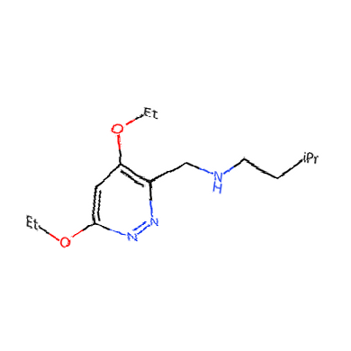 CCOc1cc(OCC)c(CNCCC(C)C)nn1